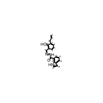 C=CCc1cccc(/C=N\NC(=O)c2cccc3cc[nH]c23)c1O